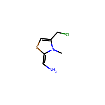 CN1C(CCl)=CS/C1=C/N